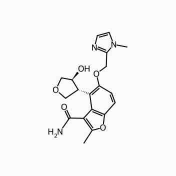 Cc1oc2ccc(OCc3nccn3C)c([C@@H]3COC[C@H]3O)c2c1C(N)=O